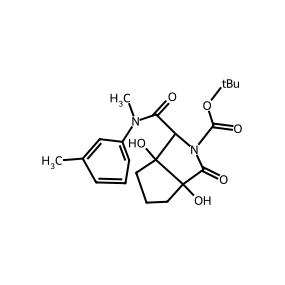 Cc1cccc(N(C)C(=O)C2N(C(=O)OC(C)(C)C)C(=O)C3(O)CCCC23O)c1